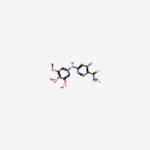 COc1cc(Nc2ccc(C(N)=O)c(F)c2)cc(OC)c1OC